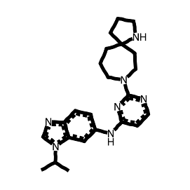 CC(C)n1cnc2ccc(Nc3ccnc(N4CCCC5(CCCN5)CC4)n3)cc21